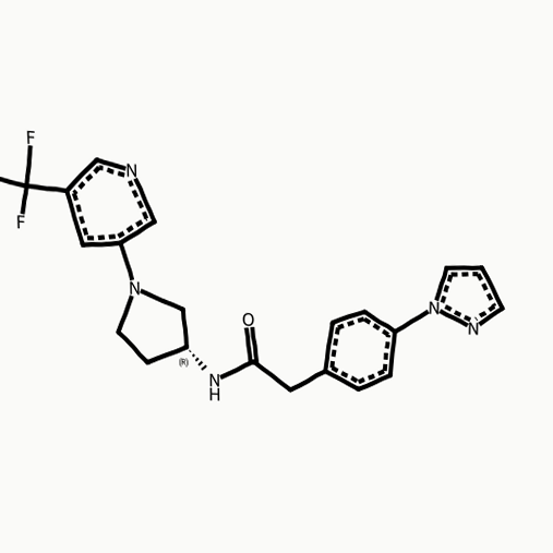 O=C(Cc1ccc(-n2cccn2)cc1)N[C@@H]1CCN(c2cncc(C(F)(F)F)c2)C1